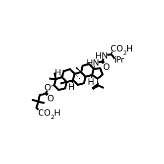 C=C(C)[C@@H]1CC[C@]2(NC(=O)N[C@@H](C(=O)O)C(C)C)CC[C@]3(C)C(CC[C@@H]4C5(C)CC[C@H](OC(=O)CC(C)(C)CC(=O)O)C(C)(C)[C@@H]5CC[C@]43C)[C@@H]12